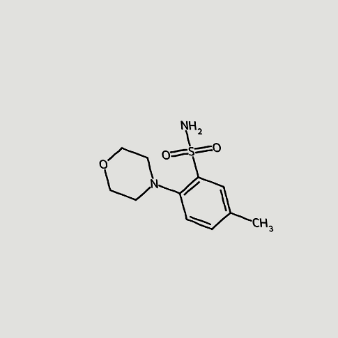 Cc1ccc(N2CCOCC2)c(S(N)(=O)=O)c1